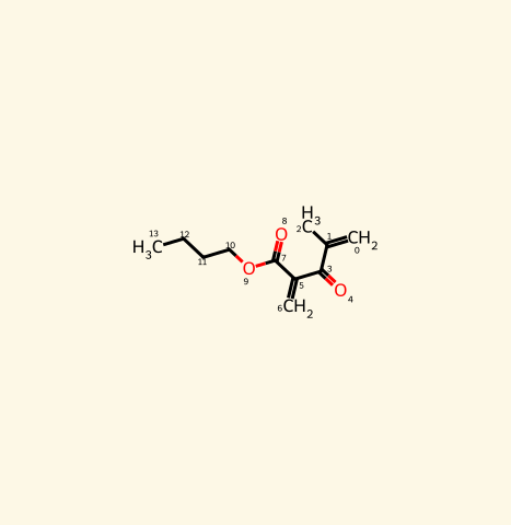 C=C(C)C(=O)C(=C)C(=O)OCCCC